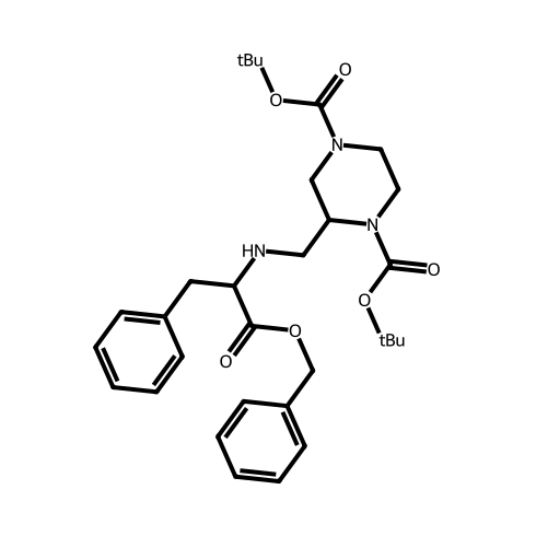 CC(C)(C)OC(=O)N1CCN(C(=O)OC(C)(C)C)C(CNC(Cc2ccccc2)C(=O)OCc2ccccc2)C1